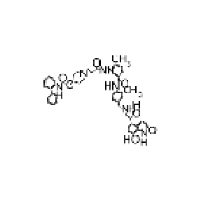 Cc1ccc(C(=O)Nc2ccc(CNC[C@@H](O)c3ccc(O)c4[nH]c(=O)ccc34)cc2C)cc1CNC(=O)CCN1CCC(OC(=O)Nc2ccccc2-c2ccccc2)CC1